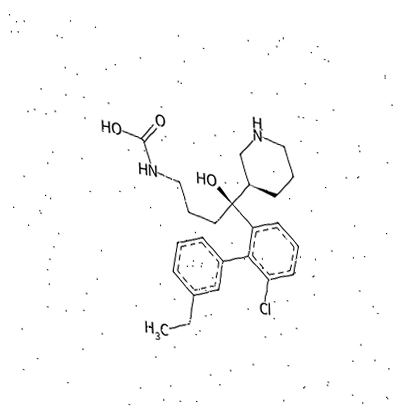 CCc1cccc(-c2c(Cl)cccc2[C@](O)(CCCNC(=O)O)[C@@H]2CCCNC2)c1